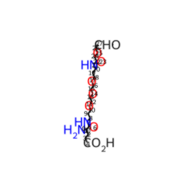 N[C@@H](CCC(=O)O)C(=O)NCCCOCCOCCOCCCNC(=O)COC[C]=O